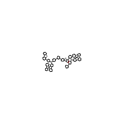 c1ccc(-c2ccc(N(c3ccc4c(c3)C3(c5ccccc5-c5ccccc53)c3ccccc3-4)c3ccccc3-c3cccc4c3sc3cc(-c5cccc(-c6ccc(N(c7ccc(-c8cccc9c8sc8ccccc89)cc7)c7ccc8c(c7)C7(c9ccccc9-c9ccccc97)c7ccccc7-8)cc6)c5)ccc34)cc2)cc1